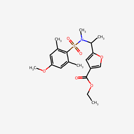 CCOC(=O)c1coc(C(C)N(C)S(=O)(=O)c2c(C)cc(OC)cc2C)c1